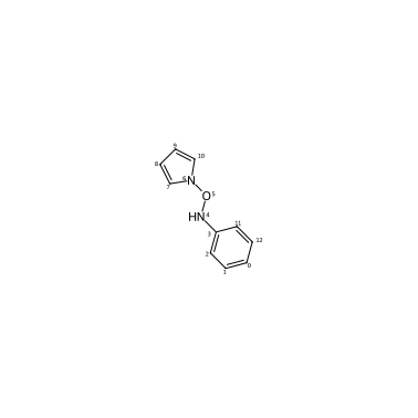 c1ccc(NOn2cccc2)cc1